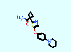 NC(=O)C1(c2ncc(Oc3ccc(N4CCCCC4)cc3)s2)CCC1